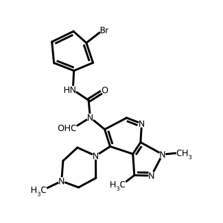 Cc1nn(C)c2ncc(N(C=O)C(=O)Nc3cccc(Br)c3)c(N3CCN(C)CC3)c12